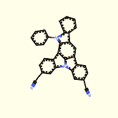 N#Cc1ccc2c3cc4c5ccccc5n(-c5ccccc5)c4c4c5ccc(C#N)cc5n(c2c1)c34